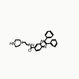 O=C(NCCN1CCNCC1)c1ccc2nc(-c3ccccc3)c(-c3ccccc3)nc2c1